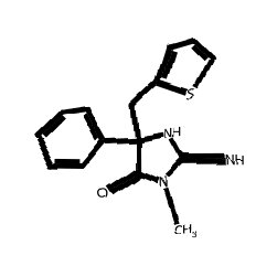 CN1C(=N)NC(Cc2cccs2)(c2ccccc2)C1=O